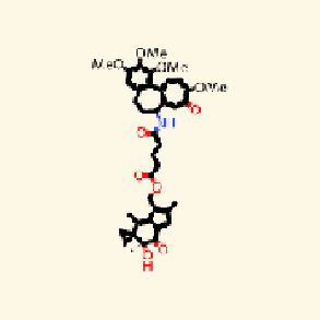 COc1cc2c(c(OC)c1OC)-c1ccc(OC)c(=O)cc1[C@@H](NC(=O)CCCC(=O)OCC1=C(C)C=C3C(=O)[C@@](C)(O)C4(CC4)C(C)=C31)CC2